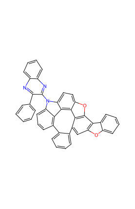 c1ccc(-c2nc3ccccc3nc2-n2c3cccc4c5ccccc5c5cc6oc7ccccc7c6c6oc7ccc2c(c7c56)c43)cc1